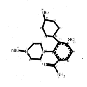 CCCCN1CCN(c2c(C(N)=O)cccc2C2CCC(C(C)(C)C)CC2)CC1.Cl